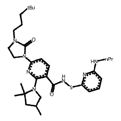 CCCNc1cccc(SNC(=O)c2ccc(N3CCN(CCCC(C)(C)C)C3=O)nc2N2CC(C)CC2(C)C)n1